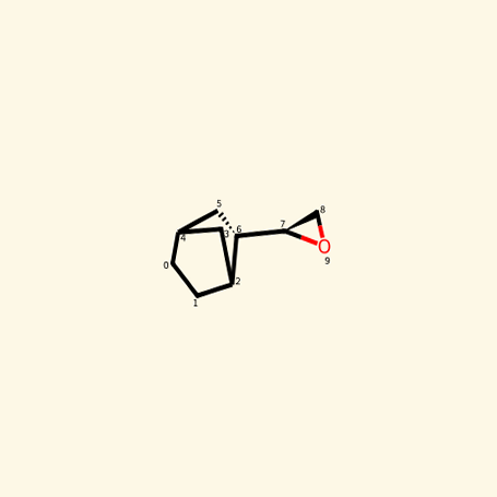 C1CC2CC1C[C@@H]2[C@H]1CO1